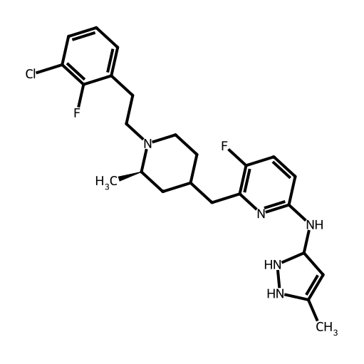 CC1=CC(Nc2ccc(F)c(CC3CCN(CCc4cccc(Cl)c4F)[C@H](C)C3)n2)NN1